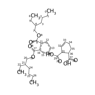 CCCCC(CC)COC(=O)c1ccccc1C(=O)OCC(CC)CCCC.O=C(O)C1C=CCCC1C(=O)O